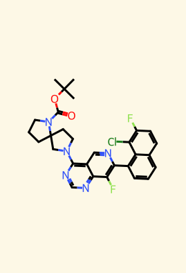 CC(C)(C)OC(=O)N1CCCC12CCN(c1ncnc3c(F)c(-c4cccc5ccc(F)c(Cl)c45)ncc13)C2